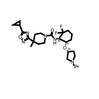 CC(C)N1CC[C@@H](O[C@H]2CCCC(F)(F)[C@@H]2NC(=O)N2CCC(C)(c3noc(C4CC4)n3)CC2)C1